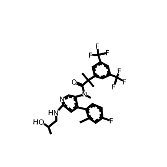 Cc1cc(F)ccc1-c1cc(NCC(C)O)ncc1N(C)C(=O)C(C)(C)c1cc(C(F)(F)F)cc(C(F)(F)F)c1